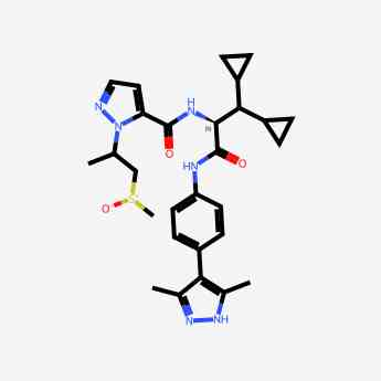 Cc1n[nH]c(C)c1-c1ccc(NC(=O)[C@@H](NC(=O)c2ccnn2C(C)C[S+](C)[O-])C(C2CC2)C2CC2)cc1